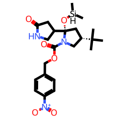 C[SiH](C)O[C@]1(C2CNC(=O)C2)C[C@H](C(C)(C)C)CN1C(=O)OCc1ccc([N+](=O)[O-])cc1